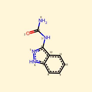 NC(=O)Nc1n[nH]c2ccccc12